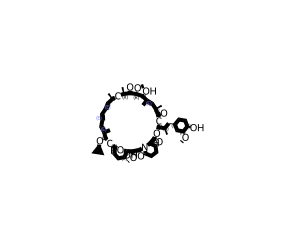 CO[C@@H]1C[C@H](C[C@@H](C)[C@@H]2CC(=O)[C@H](C)/C=C(\C)[C@@H](O)[C@@H](OC)C(=O)[C@H](C)C[C@H](C)/C=C/C=C/C=C(\C)[C@@H](OC3CC3)C[C@@H]3CC[C@@H](C)[C@@](O)(O3)C(=O)C(=O)N3CCCC[C@H]3C(=O)O2)CC[C@H]1O